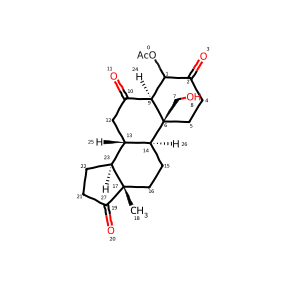 CC(=O)OC1C(=O)CC[C@@]2(CO)[C@H]1C(=O)C[C@@H]1[C@@H]2CC[C@]2(C)C(=O)CC[C@@H]12